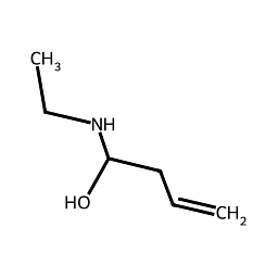 C=CCC(O)NCC